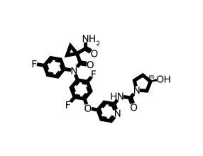 NC(=O)C1(C(=O)N(c2ccc(F)cc2)c2cc(F)c(Oc3ccnc(NC(=O)N4CC[C@@H](O)C4)c3)cc2F)CC1